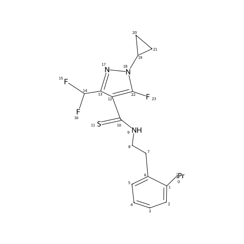 CC(C)c1ccccc1CCNC(=S)c1c(C(F)F)nn(C2CC2)c1F